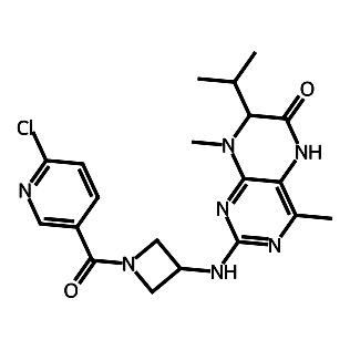 Cc1nc(NC2CN(C(=O)c3ccc(Cl)nc3)C2)nc2c1NC(=O)C(C(C)C)N2C